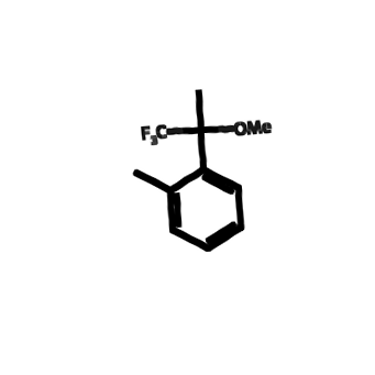 COC(C)(c1ccccc1C)C(F)(F)F